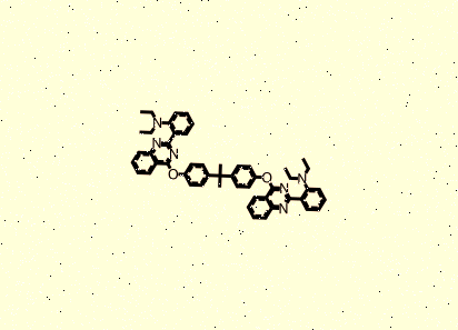 CCN(CC)c1ccccc1-c1nc(Oc2ccc(C(C)(C)c3ccc(Oc4nc(-c5ccccc5N(CC)CC)nc5ccccc45)cc3)cc2)c2ccccc2n1